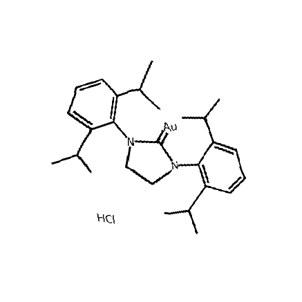 CC(C)c1cccc(C(C)C)c1N1CCN(c2c(C(C)C)cccc2C(C)C)[C]1=[Au].Cl